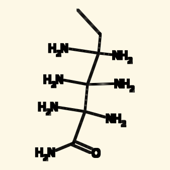 CCC(N)(N)C(N)(N)C(N)(N)C(N)=O